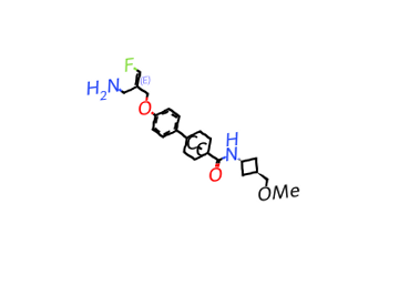 COC[C@H]1C[C@H](NC(=O)C23CCC(c4ccc(OC/C(=C/F)CN)cc4)(CC2)CC3)C1